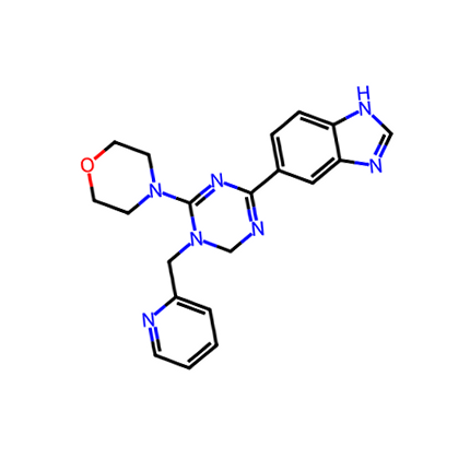 c1ccc(CN2CN=C(c3ccc4[nH]cnc4c3)N=C2N2CCOCC2)nc1